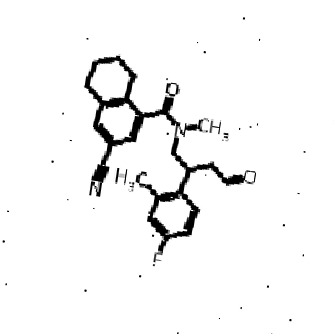 Cc1cc(F)ccc1C(CC=O)CN(C)C(=O)c1cc(C#N)cc2c1CCCC2